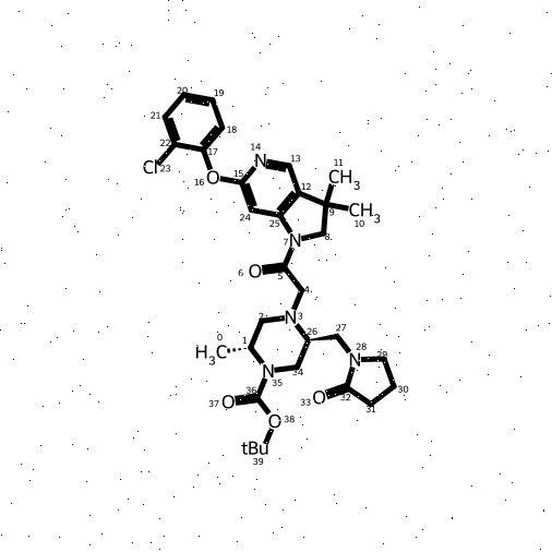 C[C@@H]1CN(CC(=O)N2CC(C)(C)c3cnc(Oc4ccccc4Cl)cc32)[C@@H](CN2CCCC2=O)CN1C(=O)OC(C)(C)C